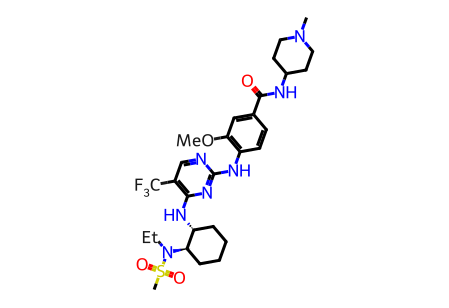 CCN([C@@H]1CCCC[C@H]1Nc1nc(Nc2ccc(C(=O)NC3CCN(C)CC3)cc2OC)ncc1C(F)(F)F)S(C)(=O)=O